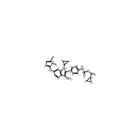 Cc1cnc(Oc2ccc3c(N)c(-c4ccc(NC(=O)OC(C)C5CC5)cc4)n(C4CC4)c3c2)n1C